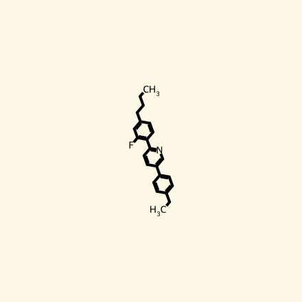 CCCCc1ccc(-c2ccc(-c3ccc(CC)cc3)cn2)c(F)c1